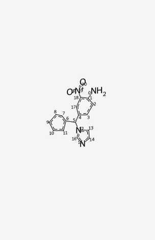 Nc1ccc(C(c2ccccc2)n2ccnc2)cc1[N+](=O)[O-]